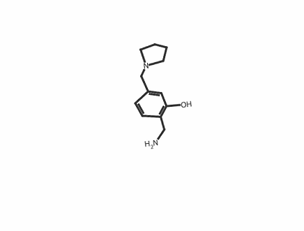 NCc1ccc(CN2CCCC2)cc1O